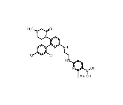 COc1nc(NCCNc2ccc(N3CCN(C)CC3=O)c(-c3ccc(Cl)cc3Cl)n2)ccc1N(O)O